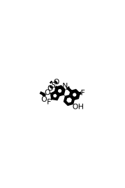 CC(=O)O[C@H]1c2c(S(C)(=O)=O)ccc([C@H]3CC[C@@H](O)c4cc(F)cc(C#N)c43)c2C[C@H]1F